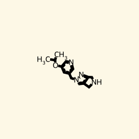 CC(C)Oc1cncc(Cn2cc3c(n2)CNC3)c1